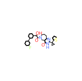 O=C([C@H](O)c1cccc(-c2cccc(F)c2)c1)N1CCCc2nc(C3(c4cccs4)CC3)[nH]c(=O)c2C1